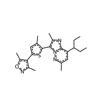 CCC(CC)c1cc(C)nn2c(-c3sc(-c4c(C)noc4C)cc3C)c(C)nc12